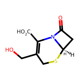 O=C(O)C1=C(CO)CS[C@@H]2CC(=O)N12